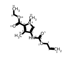 C=CCOC(=O)Nc1cn(C)c(C(=O)OCC)c1C